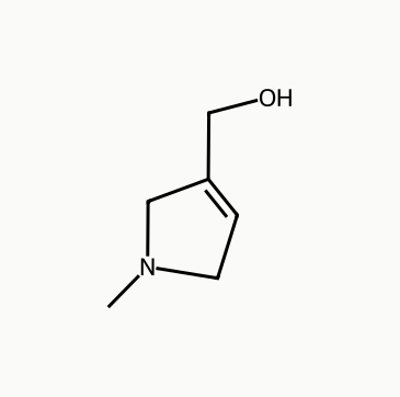 CN1CC=C(CO)C1